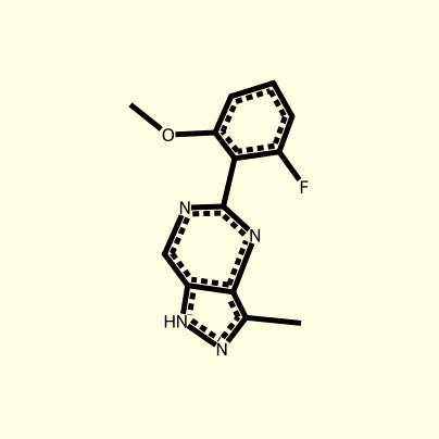 COc1cccc(F)c1-c1ncc2[nH]nc(C)c2n1